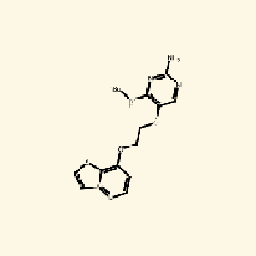 CCCCNc1nc(N)ncc1OCCOc1ccnc2ccsc12